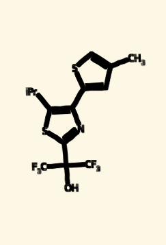 Cc1csc(-c2nc(C(O)(C(F)(F)F)C(F)(F)F)sc2C(C)C)c1